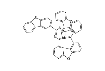 c1ccc(-c2nc(-c3ccc4sc5ccccc5c4c3)nc(-c3cccc4oc5cccc(-c6ccc7c(c6)oc6ccccc67)c5c34)n2)cc1